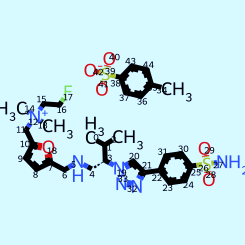 CC(C)[C@@H](CNCc1ccc(C[N+](C)(C)CCF)o1)n1cc(-c2ccc(S(N)(=O)=O)cc2)nn1.Cc1ccc(S(=O)(=O)[O-])cc1